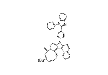 C=C1/C=C(C(C)(C)C)\C=C/CSc2c1ccc1c2c2c3ccccc3ccc2n1-c1ccc(-c2nc3ccccc3n2-c2ccccc2)cc1